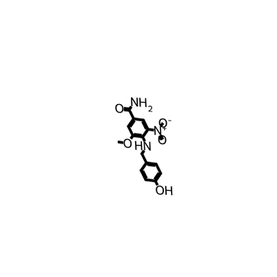 COc1cc(C(N)=O)cc([N+](=O)[O-])c1NCc1ccc(O)cc1